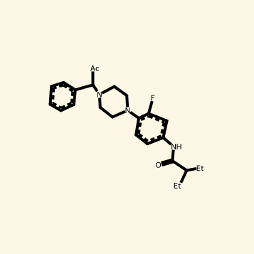 CCC(CC)C(=O)Nc1ccc(N2CCN(C(C(C)=O)c3ccccc3)CC2)c(F)c1